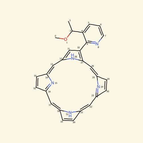 COC(C)c1cccnc1-c1cc2cc3nc(cc4ccc(cc5nc(cc1[nH]2)C=C5)[nH]4)C=C3